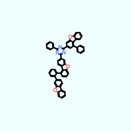 c1ccc(-c2nc(-c3ccc4c(c3)oc3cccc(-c5ccccc5-c5ccc6c(c5)oc5ccccc56)c34)nc(-c3cc(-c4ccccc4)c4c(c3)oc3ccccc34)n2)cc1